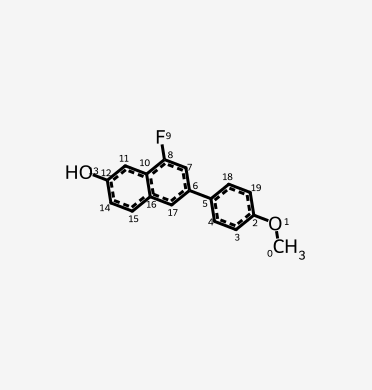 COc1ccc(-c2cc(F)c3cc(O)ccc3c2)cc1